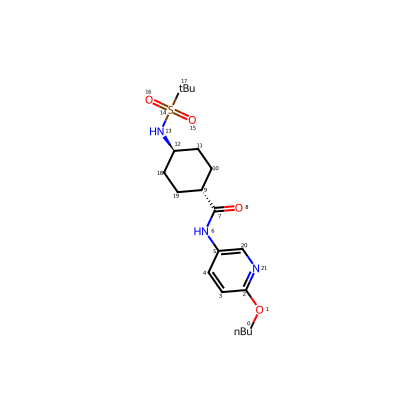 CCCCOc1ccc(NC(=O)[C@H]2CC[C@H](NS(=O)(=O)C(C)(C)C)CC2)cn1